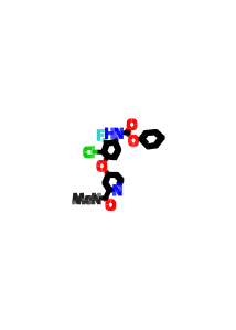 CNC(=O)c1cc(Oc2ccc(NC(=O)Oc3ccccc3)c(F)c2Cl)ccn1